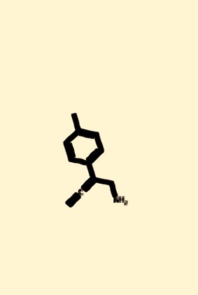 C=C=C(CN)c1ccc(C)cc1